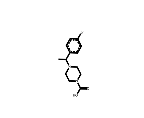 CC(c1ccc(Br)cc1)N1CCN(C(=O)O)CC1